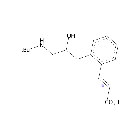 CC(C)(C)NCC(O)Cc1ccccc1/C=C/C(=O)O